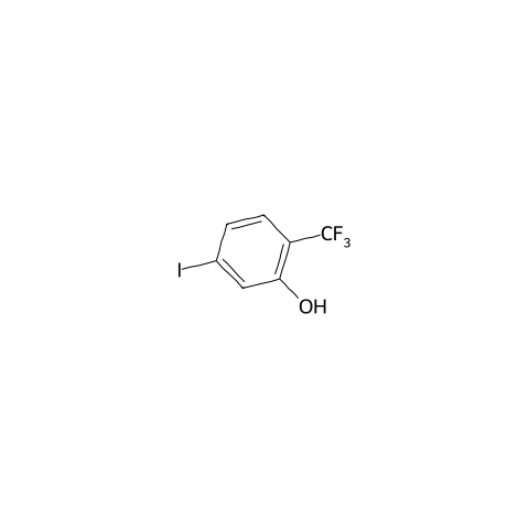 Oc1cc(I)ccc1C(F)(F)F